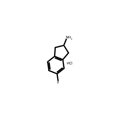 Cl.NC1Cc2ccc(F)cc2C1